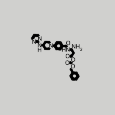 NC(CC(=O)OC(=O)OCc1ccccc1)NC(=O)c1ccc(N2CCC(Nc3ncccn3)CC2)cc1